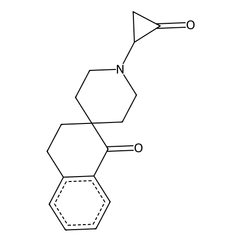 O=C1CC1N1CCC2(CCc3ccccc3C2=O)CC1